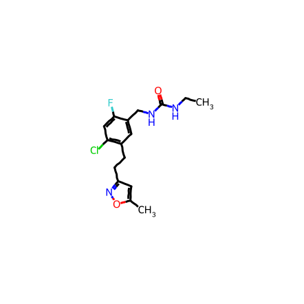 CCNC(=O)NCc1cc(CCc2cc(C)on2)c(Cl)cc1F